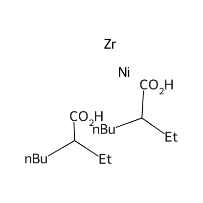 CCCCC(CC)C(=O)O.CCCCC(CC)C(=O)O.[Ni].[Zr]